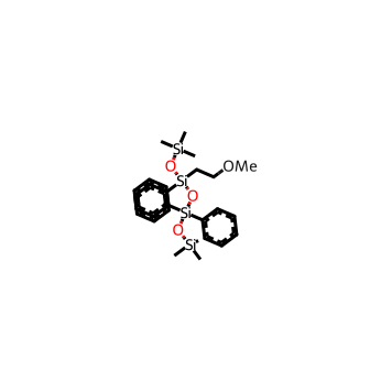 COCC[Si](O[Si](C)(C)C)(O[Si](O[Si](C)(C)C)(c1ccccc1)c1ccccc1)c1ccccc1